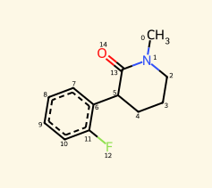 CN1CCCC(c2ccccc2F)C1=O